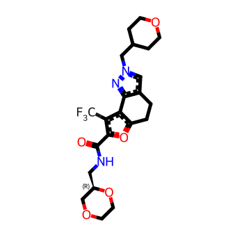 O=C(NC[C@@H]1COCCO1)c1oc2c(c1C(F)(F)F)-c1nn(CC3CCOCC3)cc1CC2